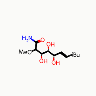 CCC(C)/C=C/[C@@H](O)[C@H](O)[C@@H](O)C(OC)C(N)=O